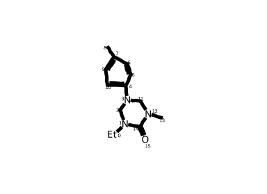 CCN1CN(c2ccc(C)cc2)CN(C)C1=O